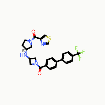 O=C(c1ccc(-c2ccc(C(F)(F)F)cc2)cc1)N1CC(N[C@H]2CCN(C(=O)c3cscn3)C2)C1